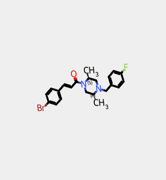 C[C@@H]1CN(C(=O)C=Cc2ccc(Br)cc2)[C@@H](C)CN1Cc1ccc(F)cc1